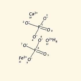 O=P([O-])([O-])[O-].O=P([O-])([O-])[O-].[Ca+2].[Fe+2].[OH4+2]